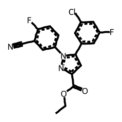 CCOC(=O)c1cc(-c2cc(F)cc(Cl)c2)n(-c2ccc(F)c(C#N)c2)n1